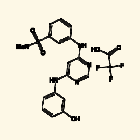 CNS(=O)(=O)c1cccc(Nc2cc(Nc3cccc(O)c3)ncn2)c1.O=C(O)C(F)(F)F